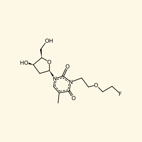 Cc1cn([C@H]2C[C@@H](O)[C@@H](CO)O2)c(=O)n(CCOCCF)c1=O